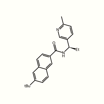 CC[C@@H](NC(=O)c1ccc2cc(C(C)(C)C)ccc2c1)c1ccc(C)nc1